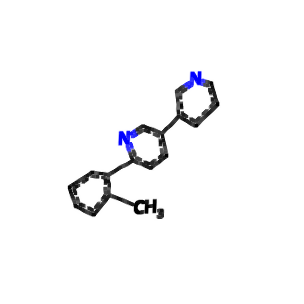 Cc1ccccc1-c1ccc(-c2cccnc2)cn1